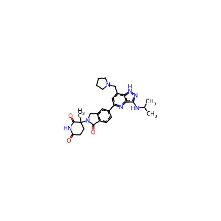 CC(C)Nc1n[nH]c2c(CN3CCCC3)cc(-c3ccc4c(c3)CN(C3(C)CCC(=O)NC3=O)C4=O)nc12